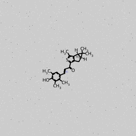 Cc1cc(/C=C/C(=O)c2sc(C)c3c2C[C@@H]2[C@H]3C2(C)C)c(C)c(C)c1O